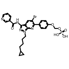 O=C(Nc1nn(CCCCC2CC2)c2nc(-c3ccc(OCOP(=O)(O)O)cc3)c(Br)cc12)c1cccnc1